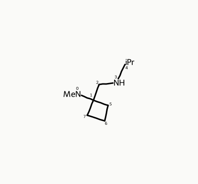 CNC1(CNC(C)C)CCC1